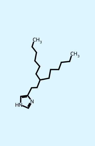 CCCCCCC(CCCCCC)CCc1c[nH]cn1